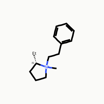 CC[C@H]1CCC[N+]1(C)CCc1ccccc1